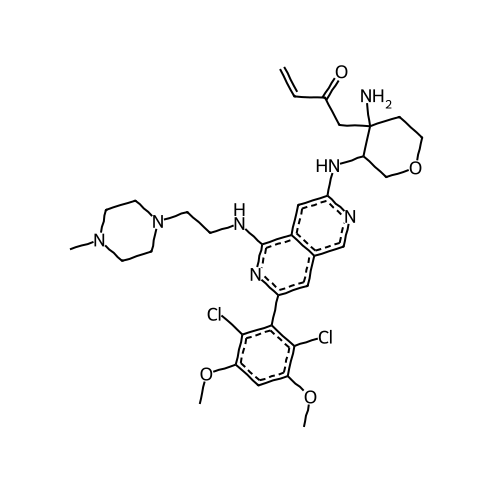 C=CC(=O)CC1(N)CCOCC1Nc1cc2c(NCCN3CCN(C)CC3)nc(-c3c(Cl)c(OC)cc(OC)c3Cl)cc2cn1